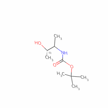 CC(NC(=O)OC(C)(C)C)[C@H](C)O